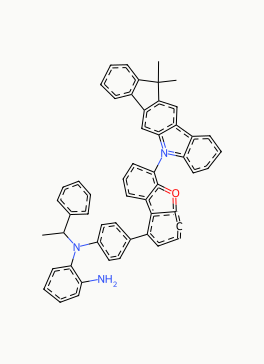 CC(c1ccccc1)N(c1ccc(-c2cccc3oc4c(-n5c6ccccc6c6cc7c(cc65)-c5ccccc5C7(C)C)cccc4c23)cc1)c1ccccc1N